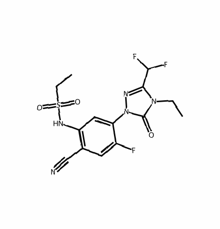 CCn1c(C(F)F)nn(-c2cc(NS(=O)(=O)CC)c(C#N)cc2F)c1=O